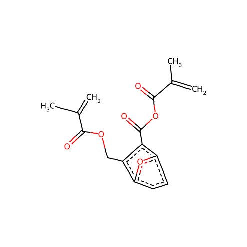 C=C(C)C(=O)OCc1c(C(=O)OC(=O)C(=C)C)c2ccc1o2